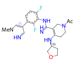 CN/C=C(\C=N)c1ccc(F)c(NC(=N)C2=C(N[C@H]3CCOC3)CCN(C(C)=O)C2)c1F